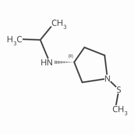 CSN1CC[C@@H](NC(C)C)C1